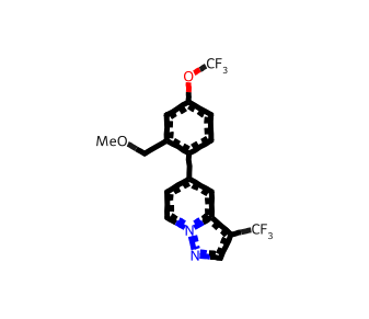 COCc1cc(OC(F)(F)F)ccc1-c1ccn2ncc(C(F)(F)F)c2c1